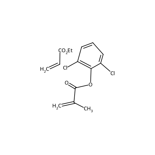 C=C(C)C(=O)Oc1c(Cl)cccc1Cl.C=CC(=O)OCC